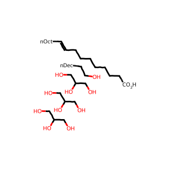 CCCCCCCCC=CCCCCCCCC(=O)O.CCCCCCCCCCCCO.OCC(O)CO.OCC(O)CO.OCC(O)CO